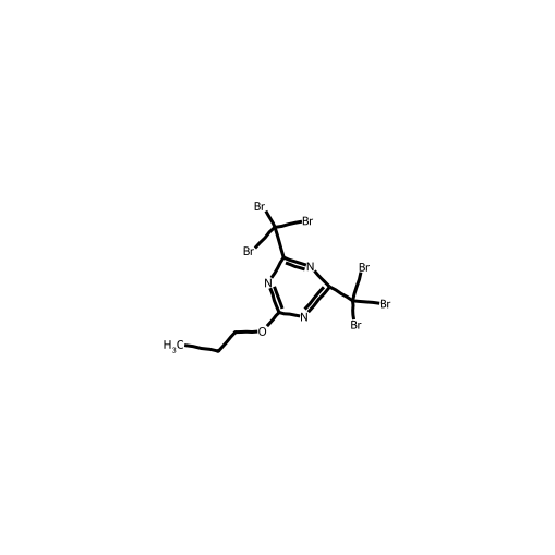 CCCOc1nc(C(Br)(Br)Br)nc(C(Br)(Br)Br)n1